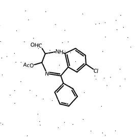 CC(=O)OC1N=C(c2ccccc2)c2cc(Cl)ccc2NC1C=O